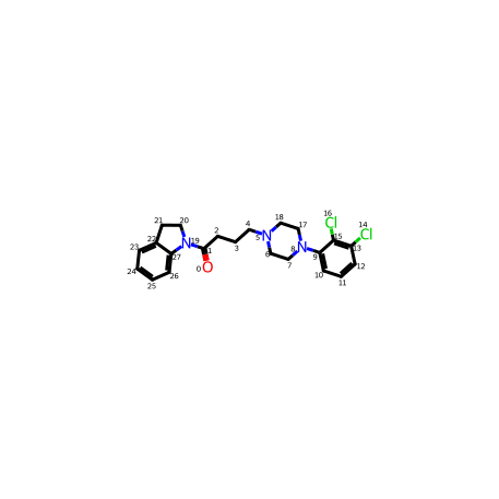 O=C(CCCN1CCN(c2cccc(Cl)c2Cl)CC1)N1CCc2ccccc21